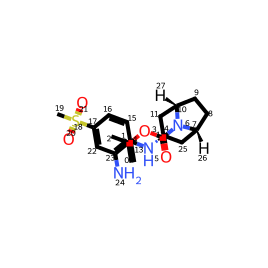 C=C(C)OC(=O)N1[C@@H]2CC[C@H]1C[C@@H](Nc1ccc(S(C)(=O)=O)cc1N)C2